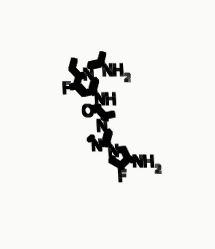 C=N/C(=C\N=C(/C)C(=O)NC1=CN(/C=C(/C)N)C(CC)C(F)=C1)N1CC(N)C(F)C1